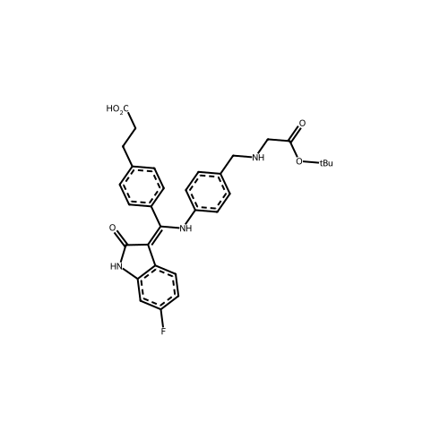 CC(C)(C)OC(=O)CNCc1ccc(NC(=C2C(=O)Nc3cc(F)ccc32)c2ccc(CCC(=O)O)cc2)cc1